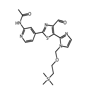 CC(=O)Nc1cc(-c2nc(C=O)c(-c3nccn3COCC[Si](C)(C)C)s2)ccn1